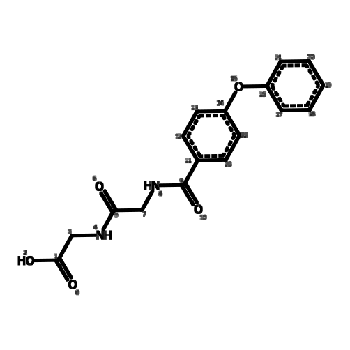 O=C(O)CNC(=O)CNC(=O)c1ccc(Oc2ccccc2)cc1